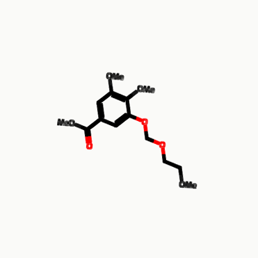 COCCOCOc1cc(C(=O)OC)cc(OC)c1OC